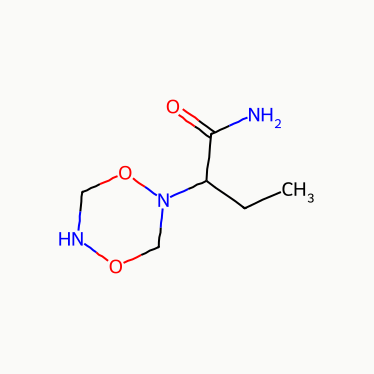 CCC(C(N)=O)N1CONCO1